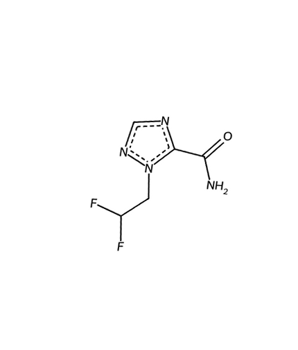 NC(=O)c1ncnn1CC(F)F